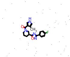 Cc1c[nH]cc1C(=O)N1CCCC(c2nc(-c3ccc(F)cc3)no2)C1